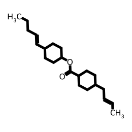 C/C=C/CC1CCC(C(=O)OC2CCC(/C=C/CCC)CC2)CC1